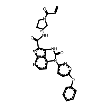 C=CC(=O)N1CC[C@@H](NC(=O)c2sc3nccc4c3c2NC(=O)N4c2ccc(Oc3ccccc3)nn2)C1